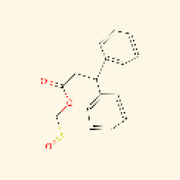 O=[S+]COC(=O)CC(c1ccccc1)c1ccccc1